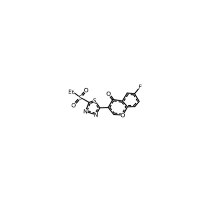 CCS(=O)(=O)c1nnc(-c2coc3ccc(F)cc3c2=O)s1